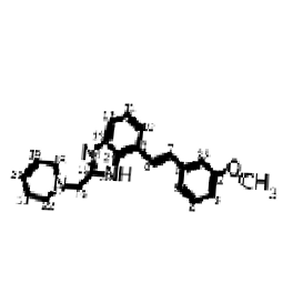 COc1cccc(C=Cc2cccc3nc(CN4CC=CCC4)[nH]c23)c1